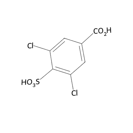 O=C(O)c1cc(Cl)c(S(=O)(=O)O)c(Cl)c1